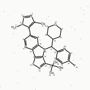 Cc1nnn(C)c1-c1cnc2c3snc(C(C)(C)O)c3n(C(c3ccc(F)cn3)C3CCOCC3)c2c1